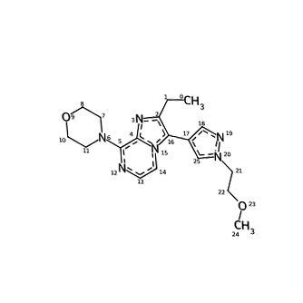 CCc1nc2c(N3CCOCC3)nccn2c1-c1cnn(CCOC)c1